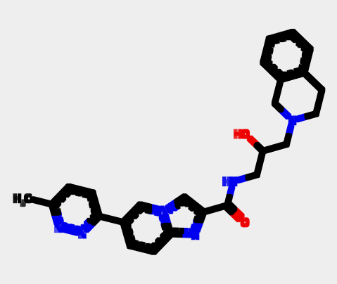 Cc1ccc(-c2ccc3nc(C(=O)NCC(O)CN4CCc5ccccc5C4)cn3c2)nn1